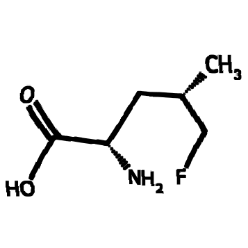 C[C@H](CF)C[C@H](N)C(=O)O